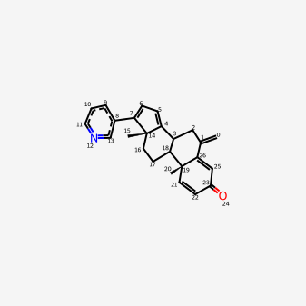 C=C1CC2C3=CC=C(c4cccnc4)[C@@]3(C)CCC2[C@@]2(C)C=CC(=O)C=C12